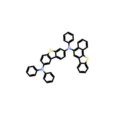 c1ccc(N(c2ccccc2)c2ccc3sc4cc(N(c5ccccc5)c5cc6c7ccccc7sc6c6ccccc56)ccc4c3c2)cc1